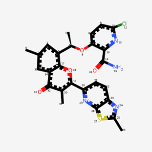 Cc1cc([C@@H](C)Oc2ccc(Cl)nc2C(N)=O)c2oc(-c3ccc4nc(C)sc4n3)c(C)c(=O)c2c1